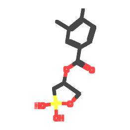 Cc1ccc(C(=O)OC2COS(O)(O)C2)cc1C